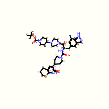 Cc1cc(C[C@@H](NC(=O)N2CCC(c3cc4c([nH]c3=O)SCCC4)CC2)C(=O)N2CCN(C3CCN(C(=O)OC(C)(C)C)CC3)CC2)cc2cn[nH]c12